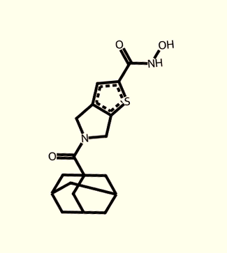 O=C(NO)c1cc2c(s1)CN(C(=O)C13CC4CC(CC(C4)C1)C3)C2